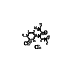 Cc1ccc(N(C=[N+](C)C)C(=O)N(C)C)cc1Cl.[Cl-]